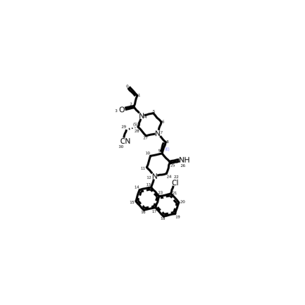 C=CC(=O)N1CCN(/C=C2\CCN(c3cccc4cccc(Cl)c34)CC2=N)C[C@@H]1CC#N